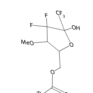 CCC(C)C(=O)OCC1OC(O)(C(F)(F)F)C(F)(F)C1OC